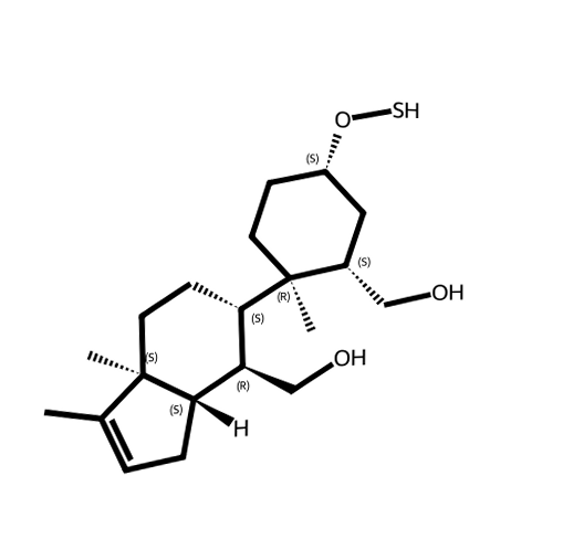 CC1=CC[C@H]2[C@H](CO)[C@@H]([C@@]3(C)CC[C@H](OS)C[C@@H]3CO)CC[C@]12C